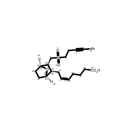 CCCC#CCCS(=O)(=O)C[C@H]1[C@@H](C/C=C\CCCC(=O)O)[C@H]2CC[C@@H]1O2